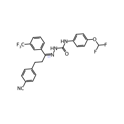 N#Cc1ccc(CC/C(=N/NC(=O)Nc2ccc(OC(F)F)cc2)c2cccc(C(F)(F)F)c2)cc1